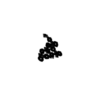 CC(C)c1ccc(-n2c(-c3cccc(-c4nc(-c5cccc(-c6nc7ccccc7n6-c6ccc(C(C)C)cc6)c5)nc(-c5cccc(-c6nc7ccccc7n6-c6ccc(C(C)C)cc6)c5)n4)c3)nc3ccccc32)cc1